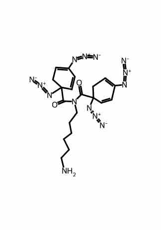 [N-]=[N+]=NC1=CCC(N=[N+]=[N-])(C(=O)N(CCCCCCN)C(=O)C2(N=[N+]=[N-])C=CC(N=[N+]=[N-])=CC2)C=C1